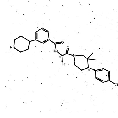 CC(C)[C@@H](NC(=O)c1cccc(C2CCNCC2)c1)C(=O)N1CC[C@H](c2ccc(Cl)cc2)C(C)(C)C1